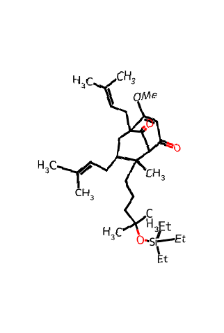 CC[Si](CC)(CC)OC(C)(C)CCCC1(C)C(CC=C(C)C)CC2(CC=C(C)C)C(=O)C1C(=O)C=C2OC